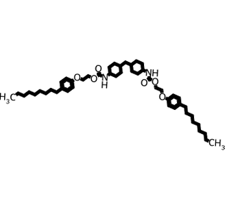 CCCCCCCCCc1ccc(OCCOC(=O)NC2CCC(CC3CCC(NC(=O)OCCOc4ccc(CCCCCCCCC)cc4)CC3)CC2)cc1